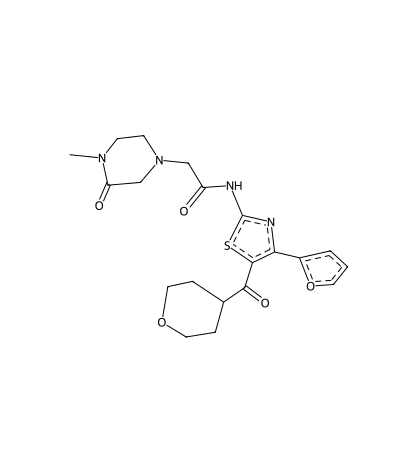 CN1CCN(CC(=O)Nc2nc(-c3ccco3)c(C(=O)C3CCOCC3)s2)CC1=O